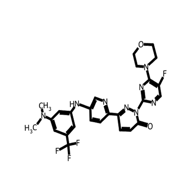 CN(C)c1cc(Nc2ccc(-c3ccc(=O)n(-c4ncc(F)c(N5CCOCC5)n4)n3)nc2)cc(C(F)(F)F)c1